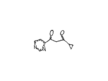 O=C(CC(=O)C1CC1)c1ccncn1